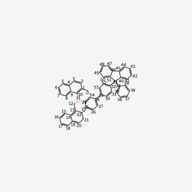 Cc1ccc2ccccc2c1B(CC1=c2ccccc2=CCC1C)c1cccc(-c2ccc(C3(c4ccccc4)c4ccccc4-c4ccccc43)cc2)c1